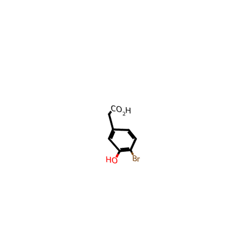 O=C(O)Cc1ccc(Br)c(O)c1